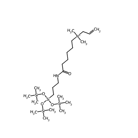 C=CC[N+](C)(C)CCCCCC(=O)NCCC[Si](O[Si](C)(C)C)(O[Si](C)(C)C)O[Si](C)(C)C